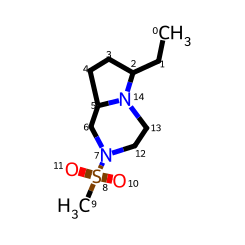 CCC1CCC2CN(S(C)(=O)=O)CCN12